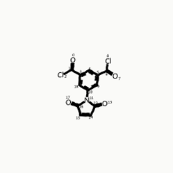 O=C(Cl)c1cc(C(=O)Cl)cc(N2C(=O)C=CC2=O)c1